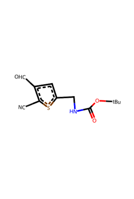 CC(C)(C)OC(=O)NCc1cc(C=O)c(C#N)s1